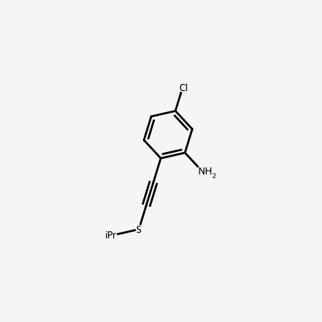 CC(C)SC#Cc1ccc(Cl)cc1N